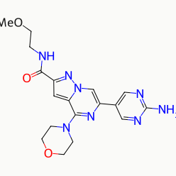 COCCNC(=O)c1cc2c(N3CCOCC3)nc(-c3cnc(N)nc3)cn2n1